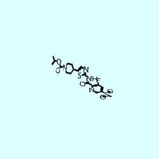 CC(C)OC(=O)N1CCC(c2cnc(NC(=O)c3ncc(S(C)(=O)=O)cc3F)s2)CC1